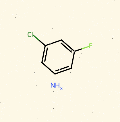 Fc1cccc(Cl)c1.N